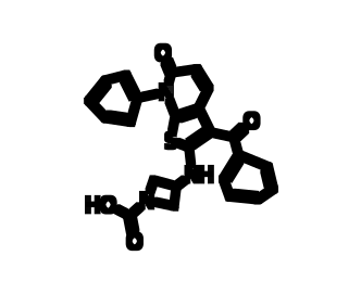 O=C(c1ccccc1)c1c(NC2CN(C(=O)O)C2)sc2c1ccc(=O)n2-c1ccccc1